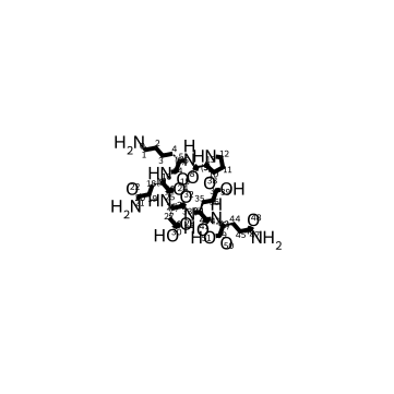 NCCCC[C@H](NC(=O)[C@@H]1CCCN1)C(=O)N[C@@H](CCC(N)=O)C(=O)N[C@@H](CC(=O)O)C(=O)N[C@@H](CCC(=O)O)C(=O)N[C@@H](CCC(N)=O)C(=O)O